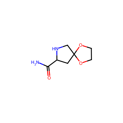 NC(=O)C1CC2(CN1)OCCO2